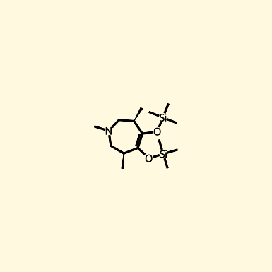 C[C@@H]1CN(C)C[C@H](C)C(O[Si](C)(C)C)=C1O[Si](C)(C)C